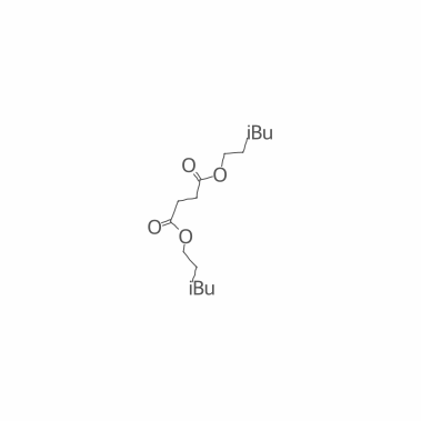 CCC(C)CCOC(=O)CCC(=O)OCCC(C)CC